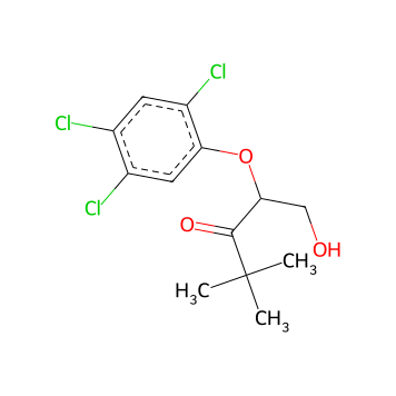 CC(C)(C)C(=O)C(CO)Oc1cc(Cl)c(Cl)cc1Cl